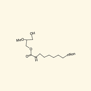 CCCCCCCCCCCCCCCNC(=O)OCC(CO)OC